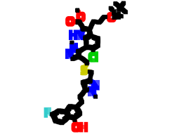 COC(=O)c1[nH]c2c(-c3c(CSCc4cc(CCc5cc(O)c6ccc(F)cc6c5)n(C)n4)cnn3C)c(Cl)ccc2c1CCCO[Si](C)(C)C(C)(C)C